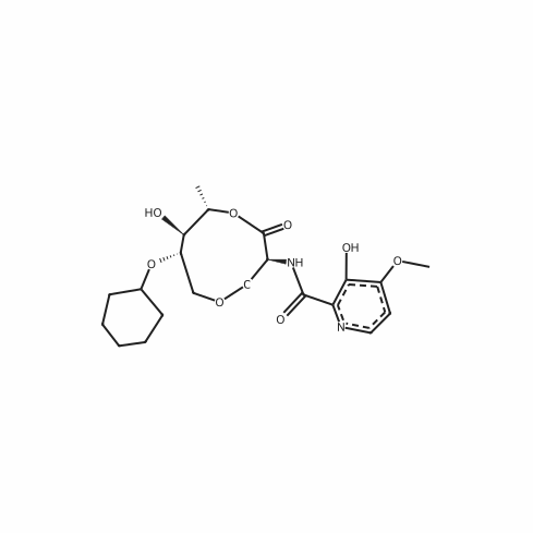 COc1ccnc(C(=O)N[C@H]2COC[C@H](OC3CCCCC3)[C@@H](O)[C@H](C)OC2=O)c1O